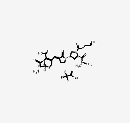 C=CCOC(=O)N1C[C@@H](N2CC/C(=C\C3=C(C(=O)O)N4C(=O)[C@@H](N)[C@H]4SC3)C2=O)C[C@@H]1C(=O)N(C)C.O=C(O)C(F)(F)F